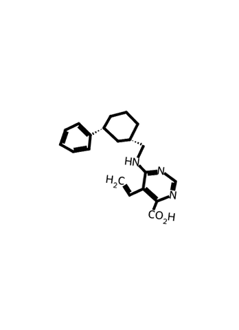 C=Cc1c(NC[C@H]2CCC[C@@H](c3ccccc3)C2)ncnc1C(=O)O